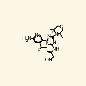 C=C(CN=O)Nc1nc(-c2cnc(N)cc2C(F)F)nc(N2[C@H](C)COC[C@@H]2C)n1